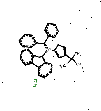 CC(C)(C)C1=CC[C]([Zr+2](=[C](c2ccccc2)c2ccccc2)[CH]2c3ccccc3-c3ccccc32)=C1.[Cl-].[Cl-]